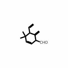 C=CC1C(=C)C(C=O)C=CC1(C)C